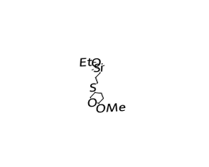 CCO[Si](C)(C)CCCSC1CCC(OC)OC1